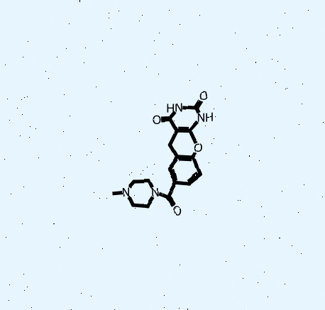 CN1CCN(C(=O)c2ccc3c(c2)Cc2c([nH]c(=O)[nH]c2=O)O3)CC1